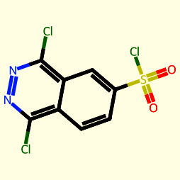 O=S(=O)(Cl)c1ccc2c(Cl)nnc(Cl)c2c1